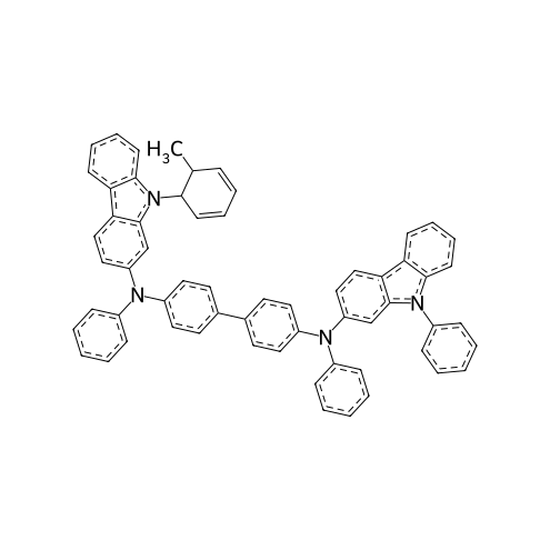 CC1C=CC=CC1n1c2ccccc2c2ccc(N(c3ccccc3)c3ccc(-c4ccc(N(c5ccccc5)c5ccc6c7ccccc7n(-c7ccccc7)c6c5)cc4)cc3)cc21